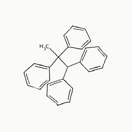 CC(c1ccccc1)(c1ccccc1)C(c1ccccc1)c1ccccc1